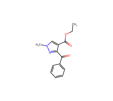 CCOC(=O)c1cn(C)nc1C(=O)c1ccccc1